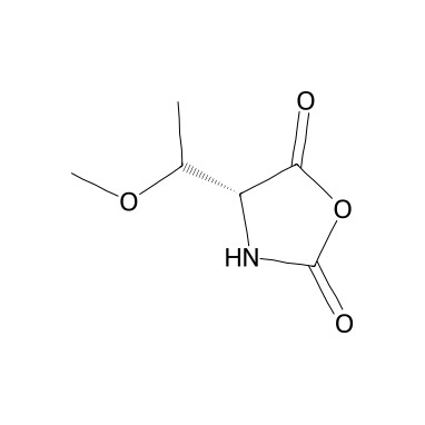 COC(C)[C@H]1NC(=O)OC1=O